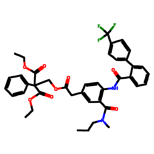 CCCN(C)C(=O)c1cc(CC(=O)OCC(C(=O)OCC)(C(=O)OCC)c2ccccc2)ccc1NC(=O)c1ccccc1-c1ccc(C(F)(F)F)cc1